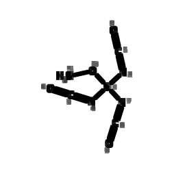 O=C=N[Si](N=C=O)(N=C=O)O[SiH3]